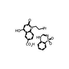 CC(C)CCn1c(=O)cc(O)c2cc(C(=O)O)ccc21.O=S1(=O)N=CNc2ccccc21